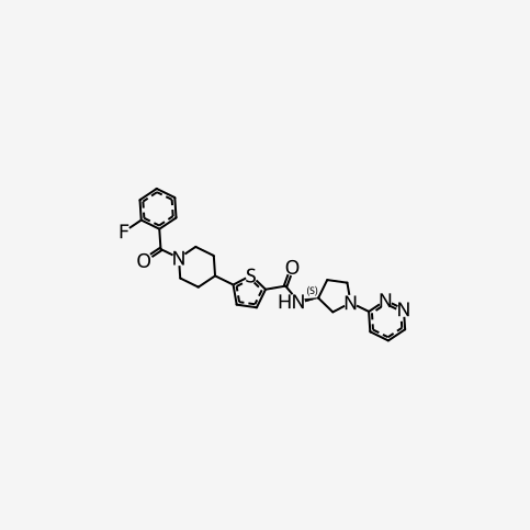 O=C(N[C@H]1CCN(c2cccnn2)C1)c1ccc(C2CCN(C(=O)c3ccccc3F)CC2)s1